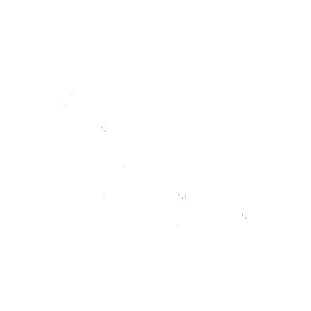 CCC1(CC)N/C(=C\C(=O)c2cccc(NC(=O)c3ccncc3)c2)c2cc(OC)ccc21.Cl